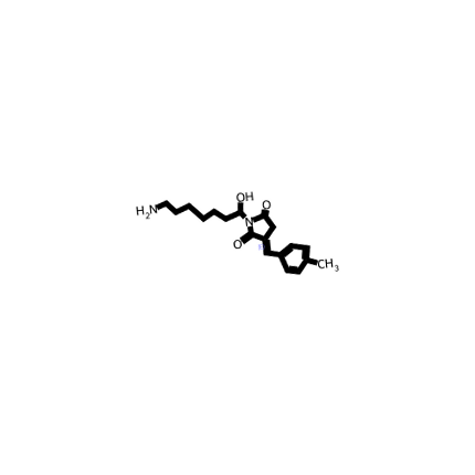 Cc1ccc(/C=C2\CC(=O)N(C(O)CCCCCCN)C2=O)cc1